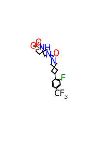 O=C(N1CC2(CC(c3ccc(C(F)(F)F)cc3F)C2)C1)N1CC2(CCS(=O)(=O)N2)C1